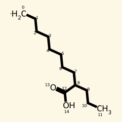 [CH2]CCCCCCCC(CCC)C(=O)O